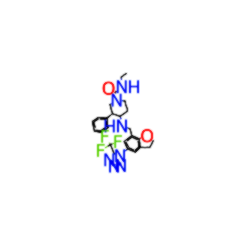 CCNC(=O)N1CC[C@@H](NCc2cc(-n3nnnc3C(F)(F)F)cc3c2OCC3)[C@@H](c2ccccc2)C1